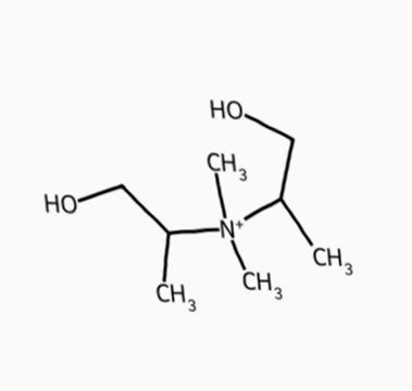 CC(CO)[N+](C)(C)C(C)CO